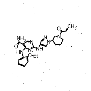 C=CC(=O)N1CCCC(n2cc(Nc3ncc(C(N)=O)c(Nc4ccccc4OCC)n3)cn2)C1